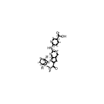 CN(C)C(=O)c1cc2cnc(Nc3ccc(C(=O)O)cn3)nc2n1[C@@H]1C[C@H]2CC[C@@H]1C2